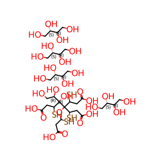 O=C(O)CC(S)OC(C(S)CC(=O)O)(C(S)CC(=O)O)[C@@](O)(C(S)CC(=O)O)[C@H](O)CO.OC[C@@H](O)[C@@H](O)CO.OC[C@@H](O)[C@@H](O)CO.OC[C@@H](O)[C@@H](O)CO.OC[C@@H](O)[C@@H](O)CO